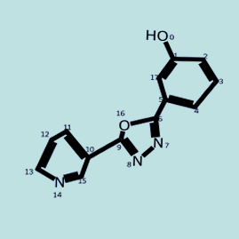 Oc1cccc(-c2nnc(-c3cccnc3)o2)c1